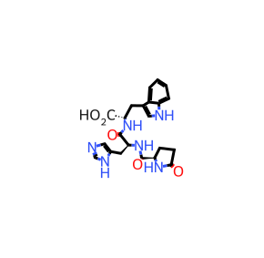 O=C1CC[C@H](C(=O)N[C@@H](Cc2cnc[nH]2)C(=O)N[C@@H](Cc2c[nH]c3ccccc23)C(=O)O)N1